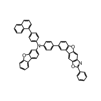 c1ccc(-c2nc3cc4oc5ccc(-c6ccc(N(c7ccc(-c8cccc9ccccc89)cc7)c7ccc8c(c7)oc7ccccc78)cc6)cc5c4cc3o2)cc1